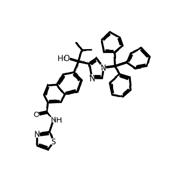 CC(C)C(O)(c1ccc2cc(C(=O)Nc3nccs3)ccc2c1)c1cn(C(c2ccccc2)(c2ccccc2)c2ccccc2)cn1